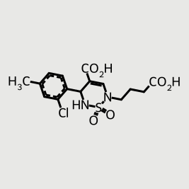 Cc1ccc(C2NS(=O)(=O)N(CCCC(=O)O)C=C2C(=O)O)c(Cl)c1